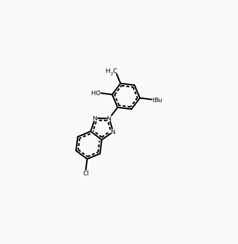 [CH2]c1cc(C(C)(C)C)cc(-n2nc3ccc(Cl)cc3n2)c1O